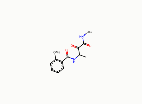 CC[C@H](C)NC(=O)C(=O)C(C)NC(=O)c1ccccc1OC